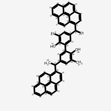 CCc1cc(C(CC)c2ccc3ccc4cccc5ccc2c3c45)cc(-c2cc(C(C)c3ccc4ccc5cccc6ccc3c4c56)cc(C)c2O)c1O